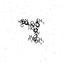 C[C@H]1CC[C@H](c2ccc3sc(CC(C)(C)N(C)C)nc3c2)N(C(=O)C(=O)Nc2cnc3o[nH]c(=O)c3c2)C1